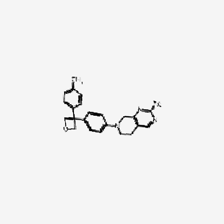 CC(=O)c1ncc2c(n1)CN(c1ccc(C3(c4ccc(C)cc4)COC3)cc1)CC2